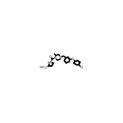 CC1CN(Cc2cccc(Oc3ccc(Cl)cc3)c2)CCN1C(=O)n1ccc(C(=O)O)n1